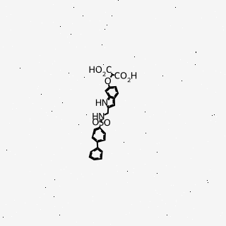 O=C(O)C(Oc1ccc2cc(CNS(=O)(=O)c3ccc(-c4ccccc4)cc3)[nH]c2c1)C(=O)O